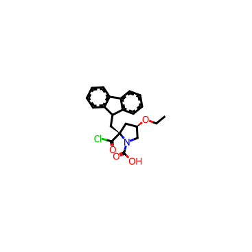 CCO[C@H]1CN(C(=O)O)[C@](CC2c3ccccc3-c3ccccc32)(C(=O)Cl)C1